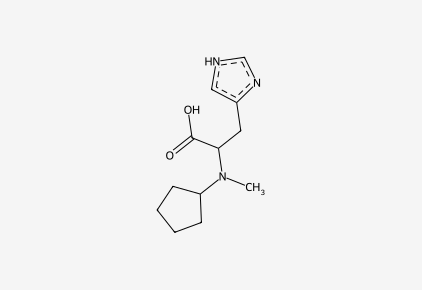 CN(C1CCCC1)C(Cc1c[nH]cn1)C(=O)O